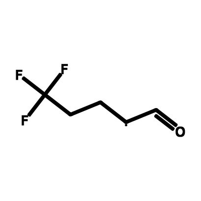 O=C[CH]CCC(F)(F)F